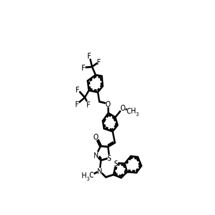 COc1cc(C=C2SC(N(C)Cc3cc4ccccc4s3)=NC2=O)ccc1OCc1ccc(C(F)(F)F)cc1C(F)(F)F